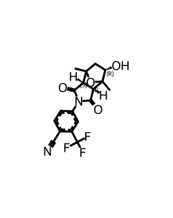 CC12C[C@@H](O)C(C)(O1)[C@@H]1C(=O)N(c3ccc(C#N)c(C(F)(F)F)c3)C(=O)[C@@H]12